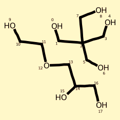 OCC(CO)(CO)CO.OCCOCC(O)CO